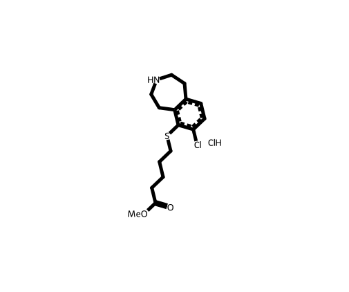 COC(=O)CCCCSc1c(Cl)ccc2c1CCNCC2.Cl